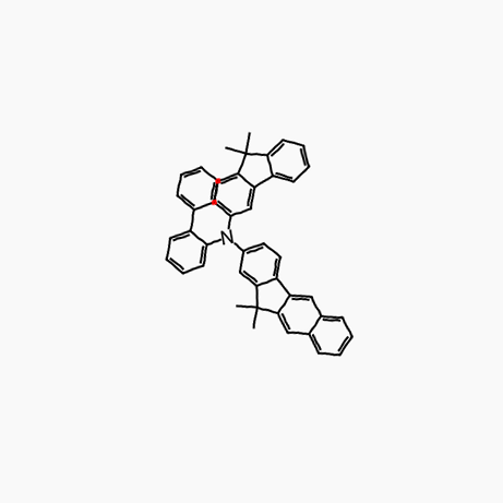 CC1(C)c2ccccc2-c2cc(N(c3ccc4c(c3)C(C)(C)c3cc5ccccc5cc3-4)c3ccccc3-c3ccccc3)ccc21